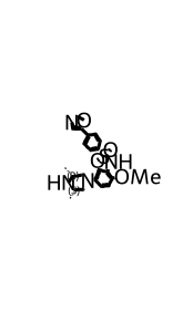 COc1ccc(N2C[C@@H](C)N[C@@H](C)C2)cc1NS(=O)(=O)c1ccc(-c2cnco2)cc1